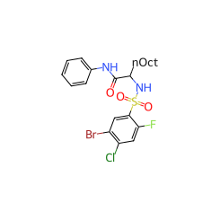 CCCCCCCCC(NS(=O)(=O)c1cc(Br)c(Cl)cc1F)C(=O)Nc1ccccc1